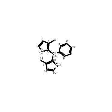 Cc1ccsc1[S+](c1ccccc1)c1sccc1C